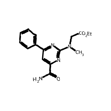 CCOC(=O)CN(C)c1nc(C(N)=O)cc(-c2ccccc2)n1